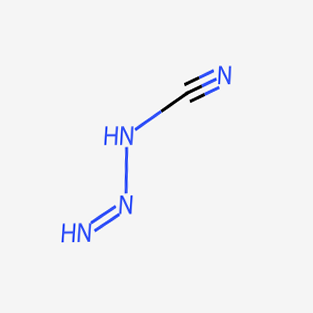 N#CNN=N